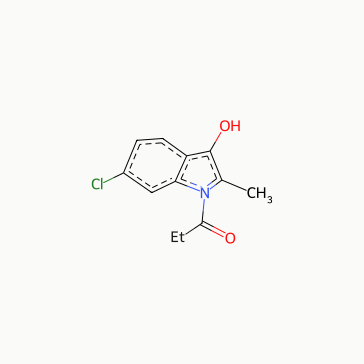 CCC(=O)n1c(C)c(O)c2ccc(Cl)cc21